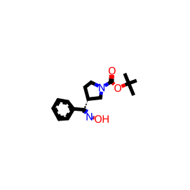 CC(C)(C)OC(=O)N1CC[C@@H](/C(=N\O)c2ccccc2)C1